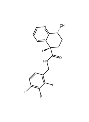 O=C(NCc1ccc(F)c(F)c1F)[C@@]1(F)CC[C@@H](O)c2ncccc21